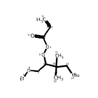 C=CC(=O)OO[C](COCC)C(C)(C)CC(C)(C)C